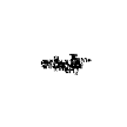 COc1cccc2cc(-c3nc4cc5c(nc4n3C)CCN(CC3COCCN3)C5=O)n(CC3(F)CC3)c12